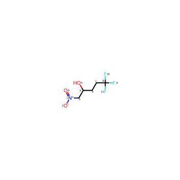 O=[N+]([O-])CC(O)CCC(F)(F)F